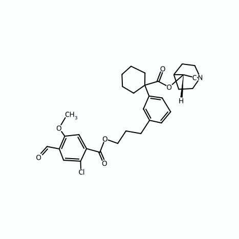 COc1cc(C(=O)OCCCc2cccc(C3(C(=O)O[C@H]4CN5CCC4CC5)CCCCC3)c2)c(Cl)cc1C=O